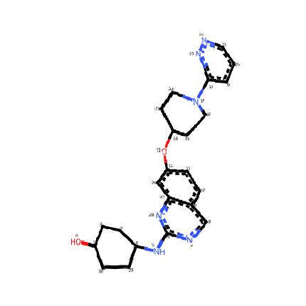 OC1CCC(Nc2ncc3ccc(OC4CCN(c5cccnn5)CC4)cc3n2)CC1